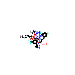 CCCCS(=O)(=O)C[C@@H](NC(=O)NC)C(=O)N[C@@H](Cc1cc(F)cc(F)c1)[C@H](O)CNC1(c2cccc(C(F)(F)F)c2)CC1